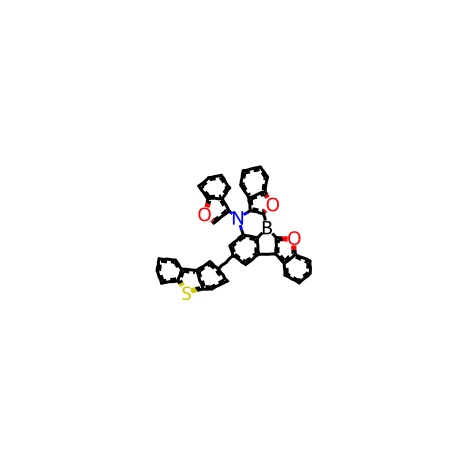 c1ccc2c(N3c4cc(-c5ccc6sc7ccccc7c6c5)cc5c4B(c4oc6ccccc6c4-5)c4oc5ccccc5c43)coc2c1